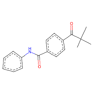 CC(C)(C)C(=O)c1ccc(C(=O)Nc2ccccc2)cc1